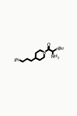 CCCCC(N)C(=O)N1CCC(CCCC(C)C)CC1